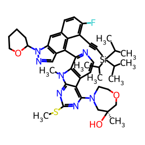 CSc1nc(N2CCOC[C@@](C)(O)C2)c2c3ccnc(-c4c5cnn(C6CCCCO6)c5cc5ccc(F)c(C#C[Si](C(C)C)(C(C)C)C(C)C)c45)c3n(C)c2n1